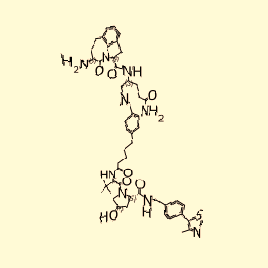 Cc1ncsc1-c1ccc(CNC(=O)[C@@H]2C[C@@H](O)CN2C(=O)[C@@H](NC(=O)CCCCc2ccc(CN(C)C[C@H](CCC(N)=O)NC(=O)[C@@H]3Cc4cccc5c4N3C(=O)[C@@H](N)CC5)cc2)C(C)(C)C)cc1